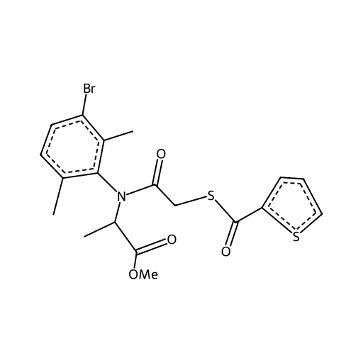 COC(=O)C(C)N(C(=O)CSC(=O)c1cccs1)c1c(C)ccc(Br)c1C